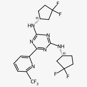 FC1(F)CC[C@@H](Nc2nc(N[C@@H]3CCC(F)(F)C3)nc(-c3cccc(C(F)(F)F)n3)n2)C1